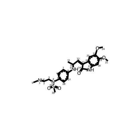 CNCCN(c1ccc(NC(C)C=C2C(=O)Nc3cc(OC)c(OC)cc32)cc1)S(C)(=O)=O